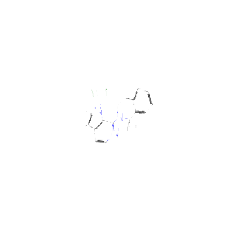 CCC1c2ccccc2CCN1c1nccc2c(C)c(C)n(C)c12.Cl